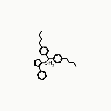 CCCCc1ccc(C([SiH2]C2=C(c3ccccc3)C=CC2)c2ccc(CCCC)cc2)cc1